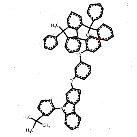 CC(C)(C)c1ccnc(-n2c3ccccc3c3ccc(Oc4cccc(Nc5ccccc5Nc5c(C(C)(c6ccccc6)c6ccccc6)cccc5C(C)(c5ccccc5)c5ccccc5)c4)cc32)c1